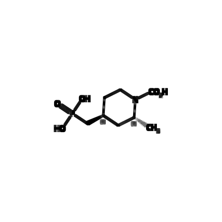 C[C@@H]1C[C@@H](CP(=O)(O)O)CCN1C(=O)O